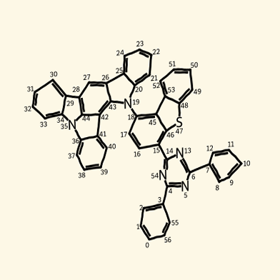 c1ccc(-c2nc(-c3ccccc3)nc(-c3ccc(-n4c5ccccc5c5cc6c7ccccc7n7c8ccccc8c(c54)c67)c4c3sc3ccccc34)n2)cc1